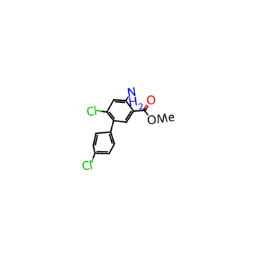 COC(=O)c1cc(-c2ccc(Cl)cc2)c(Cl)cc1N